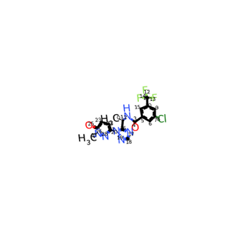 C[C@H](NC(=O)c1cc(Cl)cc(C(F)(F)F)c1)c1ncnn1-c1ccc(=O)n(C)n1